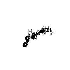 C[Si](C)(C)CCOCn1ccc2c(NC3CCCN(Cc4ccccc4)C3)c(Br)cnc21